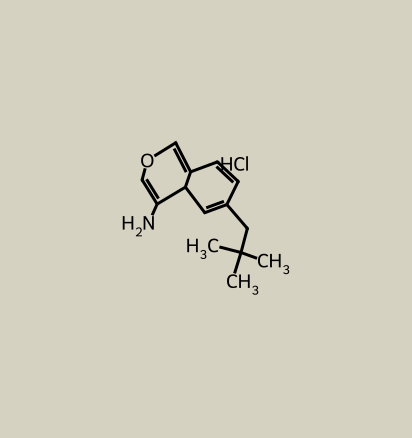 CC(C)(C)CC1=CC2C(N)=COC=C2C=C1.Cl